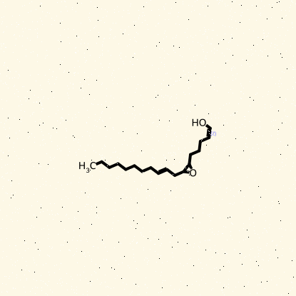 CCCCCCCCC=CCC1OC1CCC/C=C\O